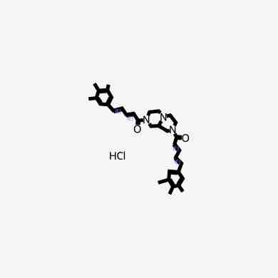 Cc1cc(/C=C/C=C/C(=O)N2CCN3CCN(C(=O)/C=C/C=C/c4cc(C)c(C)c(C)c4)CC3C2)cc(C)c1C.Cl